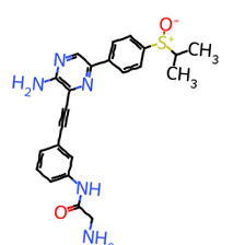 CC(C)[S+]([O-])c1ccc(-c2cnc(N)c(C#Cc3cccc(NC(=O)CN)c3)n2)cc1